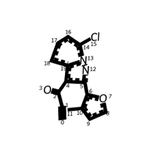 C#CC(=O)c1c(-c2occc2C)nn2c(Cl)cccc12